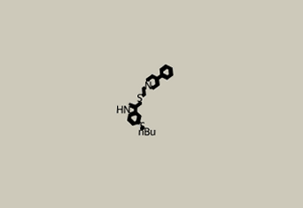 CCCCSc1ccc2[nH]cc(CSCCN3CC=C(c4ccccc4)CC3)c2c1